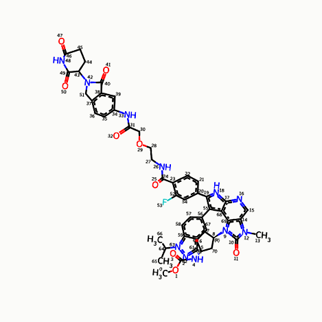 COC(=O)N[C@@H]1CC[C@@H](n2c(=O)n(C)c3cnc4[nH]c(-c5ccc(C(=O)NCCOCC(=O)Nc6ccc7c(c6)C(=O)N(C6CCC(=O)NC6=O)C7)c(F)c5)c(-c5ccc6c(cnn6C(C)C)c5)c4c32)C1